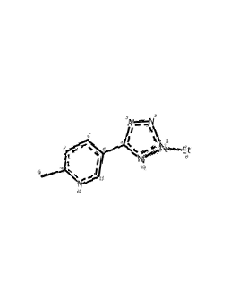 CCn1nnc(-c2ccc(C)nc2)n1